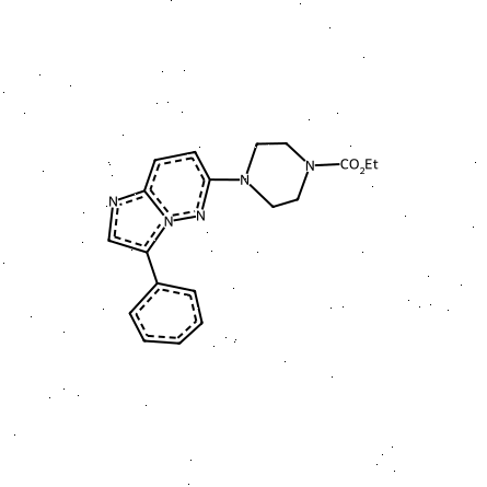 CCOC(=O)N1CCN(c2ccc3ncc(-c4ccccc4)n3n2)CC1